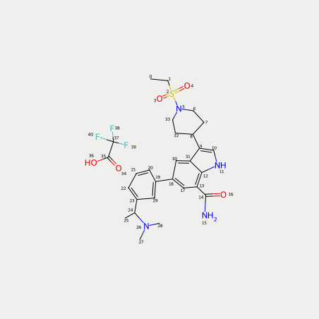 CCS(=O)(=O)N1CCC(c2c[nH]c3c(C(N)=O)cc(-c4cccc(C(C)N(C)C)c4)cc23)CC1.O=C(O)C(F)(F)F